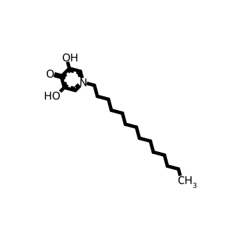 CCCCCCCCCCCCCCn1cc(O)c(=O)c(O)c1